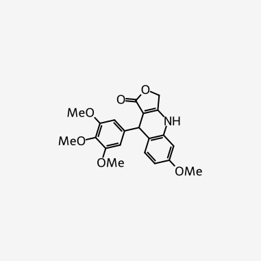 COc1ccc2c(c1)NC1=C(C(=O)OC1)C2c1cc(OC)c(OC)c(OC)c1